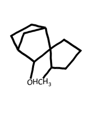 CC1CCCC12C1CCC(C1)C2O